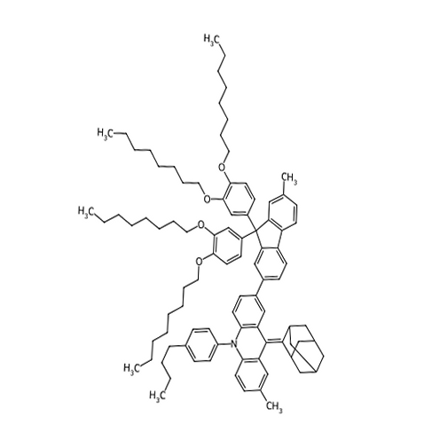 CCCCCCCCOc1ccc(C2(c3ccc(OCCCCCCCC)c(OCCCCCCCC)c3)c3cc(C)ccc3-c3ccc(-c4ccc5c(c4)C(=C4C6CC7CC(C6)CC4C7)c4cc(C)ccc4N5c4ccc(CCCC)cc4)cc32)cc1OCCCCCCCC